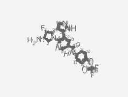 N[C@H]1CN(c2ncc(C(=O)Nc3ccc(OC(F)(F)Cl)cc3)cc2-c2ccn[nH]2)C[C@@H]1F